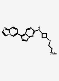 COCCO[C@H]1C[C@@H](Nc2ncc3c(-c4ccc5nccn5c4)ccn3n2)C1